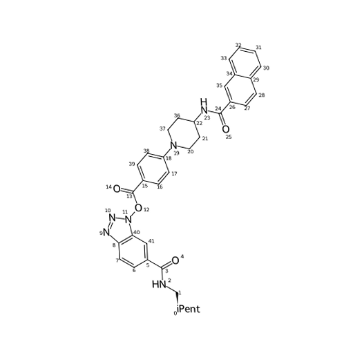 CCC[C@H](C)CNC(=O)c1ccc2nnn(OC(=O)c3ccc(N4CCC(NC(=O)c5ccc6ccccc6c5)CC4)cc3)c2c1